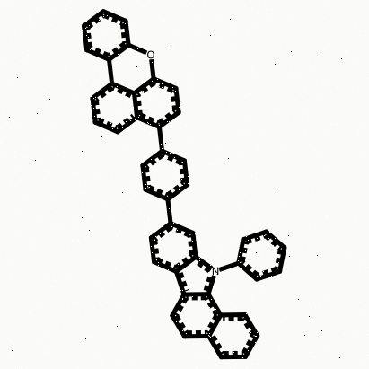 c1ccc(-n2c3cc(-c4ccc(-c5ccc6c7c(cccc57)-c5ccccc5O6)cc4)ccc3c3ccc4ccccc4c32)cc1